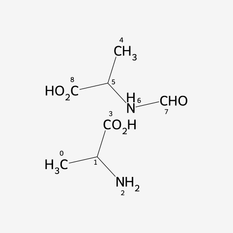 CC(N)C(=O)O.CC(NC=O)C(=O)O